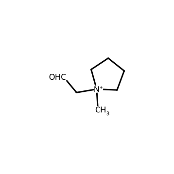 C[N+]1(CC=O)CCCC1